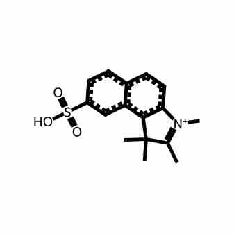 CC1=[N+](C)c2ccc3ccc(S(=O)(=O)O)cc3c2C1(C)C